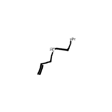 C=C[CH][12CH2]CCCC